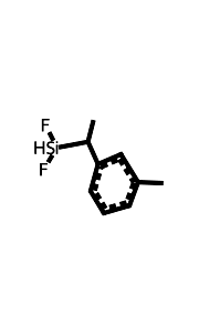 Cc1cccc(C(C)[SiH](F)F)c1